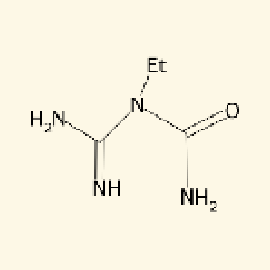 CCN(C(=N)N)C(N)=O